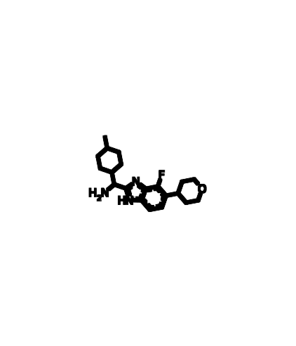 CC1CCC(C(N)c2nc3c(F)c(C4CCOCC4)ccc3[nH]2)CC1